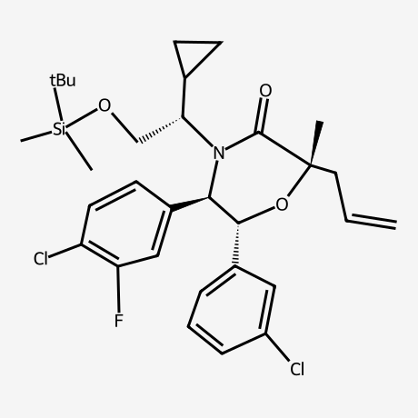 C=CC[C@]1(C)O[C@H](c2cccc(Cl)c2)[C@@H](c2ccc(Cl)c(F)c2)N([C@H](CO[Si](C)(C)C(C)(C)C)C2CC2)C1=O